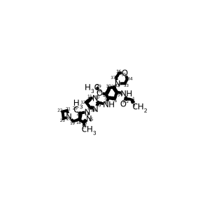 C=CC(=O)Nc1cc(Nc2nccc(-n3nc(C)c(CN4CCC4)c3C)n2)c(OC)cc1N1CCOCC1